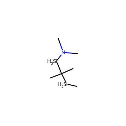 C[SiH2]C(C)(C)[SiH2]N(C)C